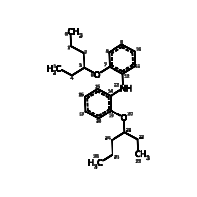 CCCC(CC)Oc1ccccc1Nc1ccccc1OC(CC)CCC